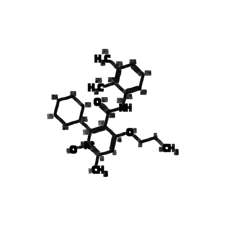 CCCOc1cc(C)[n+]([O-])c(C2CCCCC2)c1C(=O)Nc1cccc(C)c1C